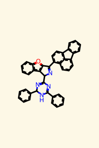 c1ccc(C2=NC(C3N=C(c4ccc5c6c(cccc46)-c4ccccc4-5)c4oc5ccccc5c43)=NC(c3ccccc3)N2)cc1